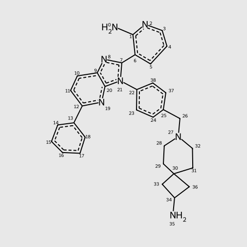 Nc1ncccc1-c1nc2ccc(-c3ccccc3)nc2n1-c1ccc(CN2CCC3(CC2)CC(N)C3)cc1